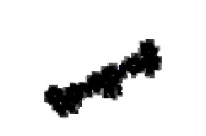 CCC1(CC)c2cc(/C=C/c3ccc(N4c5ccccc5C=CC4C)cc3)ccc2-c2ccc(/C=C/c3ccc(N4c5ccccc5C=CC4C)cc3)cc21